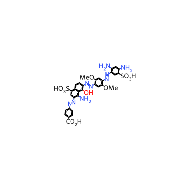 COc1cc(N=Nc2ccc3c(S(=O)(=O)O)cc(N=Nc4ccc(C(=O)O)cc4)c(N)c3c2O)c(OC)cc1N=Nc1cc(S(=O)(=O)O)c(N)cc1N